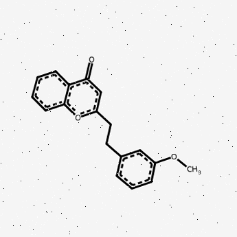 COc1cccc(CCc2cc(=O)c3ccccc3o2)c1